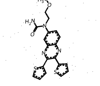 COCCN(C(N)=O)c1ccc2nc(-c3cccs3)c(-c3cccs3)nc2c1